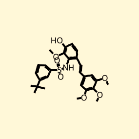 COc1cc(C=Cc2ccc(O)c(OC)c2NS(=O)(=O)c2cccc(C(C)(C)C)c2)cc(OC)c1OC